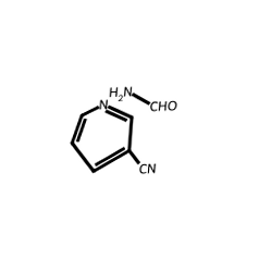 N#Cc1cccnc1.NC=O